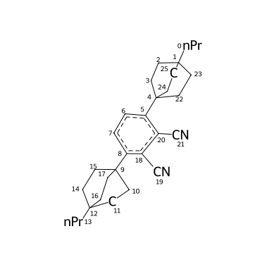 CCCC12CCC(c3ccc(C45CCC(CCC)(CC4)CC5)c(C#N)c3C#N)(CC1)CC2